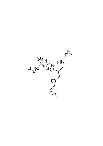 C=CCOCC(O)CNC=C.NC(N)=O